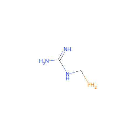 N=C(N)NCP